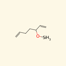 C=CCCC(C=C)O[SiH3]